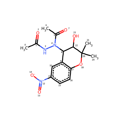 CC(=O)NN(C(C)=O)C1c2cc([N+](=O)[O-])ccc2OC(C)(C)C1O